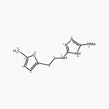 CNc1nnc(NCCc2ccc(C)o2)[nH]1